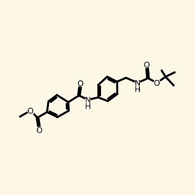 COC(=O)c1ccc(C(=O)Nc2ccc(CNC(=O)OC(C)(C)C)cc2)cc1